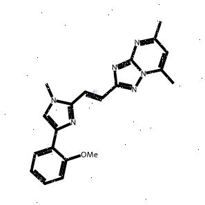 COc1ccccc1-c1cn(C)c(/C=C/c2nc3nc(C)cc(C)n3n2)n1